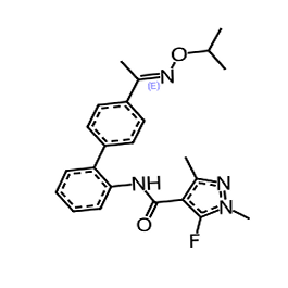 C/C(=N\OC(C)C)c1ccc(-c2ccccc2NC(=O)c2c(C)nn(C)c2F)cc1